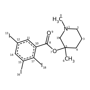 CN1CCCC(C)(OC(=O)c2cc(I)cc(I)c2I)C1